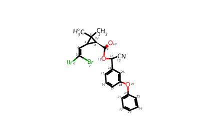 CC1(C)C(C=C(Br)Br)[C@@H]1C(=O)OC(C#N)c1cccc(Oc2ccccc2)c1